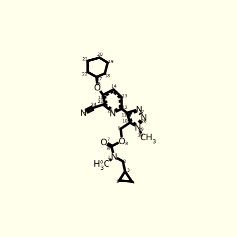 CN(CC1CC1)C(=O)OCc1c(-c2ccc(OC3CCCCC3)c(C#N)n2)nnn1C